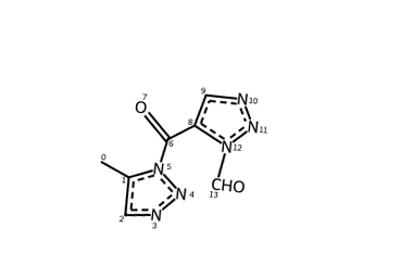 Cc1cnnn1C(=O)c1cnnn1C=O